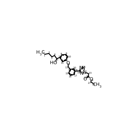 CCCCCC(O)c1cccc(OCc2cccc(-c3nnn(CC(=O)OCC)n3)c2)c1